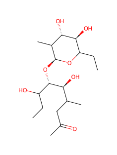 CCC1O[C@@H](O[C@@H](C(O)CC)[C@@H](O)C(C)CC(C)=O)C(C)[C@H](O)[C@H]1O